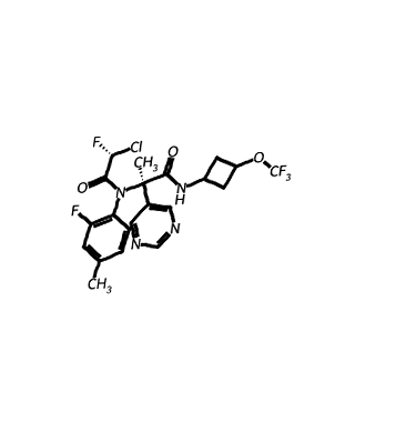 Cc1ccc(N(C(=O)[C@H](F)Cl)[C@@](C)(C(=O)NC2CC(OC(F)(F)F)C2)c2cncnc2)c(F)c1